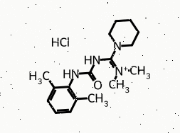 Cc1cccc(C)c1NC(=O)NC(N1CCCCC1)=[N+](C)C.Cl